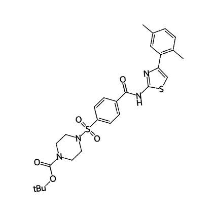 Cc1ccc(C)c(-c2csc(NC(=O)c3ccc(S(=O)(=O)N4CCN(C(=O)OC(C)(C)C)CC4)cc3)n2)c1